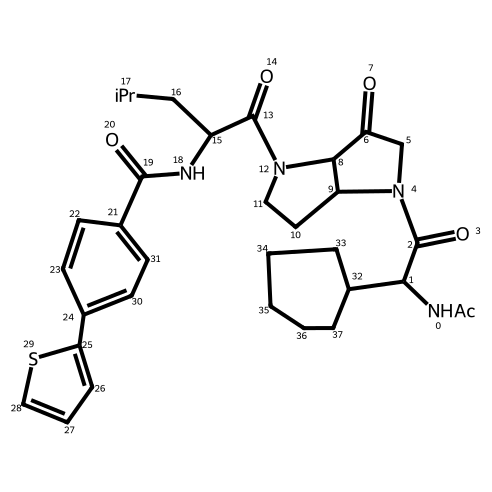 CC(=O)NC(C(=O)N1CC(=O)C2C1CCN2C(=O)C(CC(C)C)NC(=O)c1ccc(-c2cccs2)cc1)C1CCCCC1